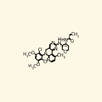 C=CC(=O)N[C@H]1CCOC[C@H]1Nc1ncc2c(n1)-c1c(C)ccnc1N(c1c(Cl)c(OC)cc(OC)c1Cl)C2